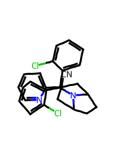 N#CC1(c2ccccn2)CC2CCC(C1)N2C(c1ccccc1Cl)c1ccccc1Cl